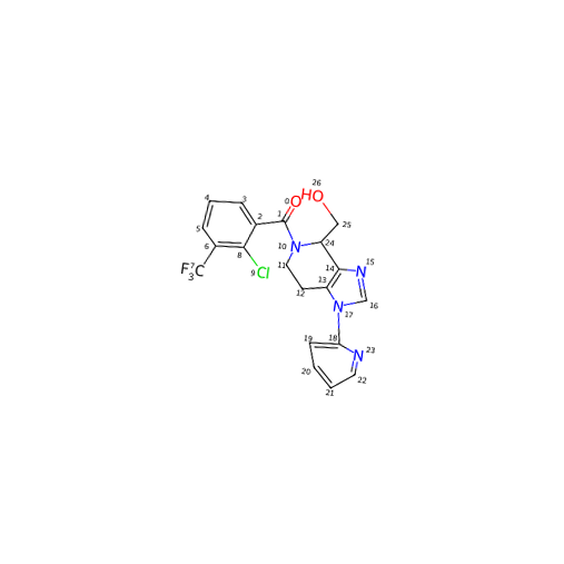 O=C(c1cccc(C(F)(F)F)c1Cl)N1CCc2c(ncn2-c2ccccn2)C1CO